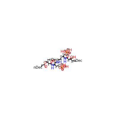 CCCCCCCCCCCC(=O)O[C@H](CCCCCCCCCCC)CC(=O)N[C@H](CCOP(=O)(O)O)C(=O)NCCC[C@H](COP(=O)(O)O)NC(=O)C[C@H](O)CCCCCCCCCCC